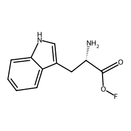 N[C@@H](Cc1c[nH]c2ccccc12)C(=O)OF